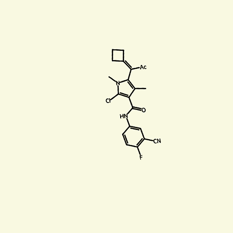 CC(=O)C(=C1CCC1)c1c(C)c(C(=O)Nc2ccc(F)c(C#N)c2)c(Cl)n1C